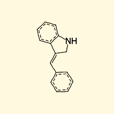 C(=C1CNc2ccccc21)c1ccccc1